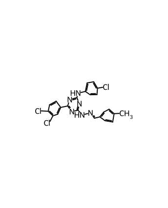 Cc1ccc(C=NNc2nc(Nc3ccc(Cl)cc3)nc(-c3ccc(Cl)c(Cl)c3)n2)cc1